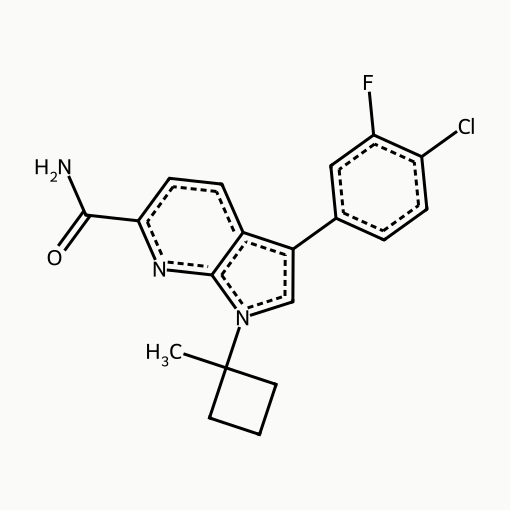 CC1(n2cc(-c3ccc(Cl)c(F)c3)c3ccc(C(N)=O)nc32)CCC1